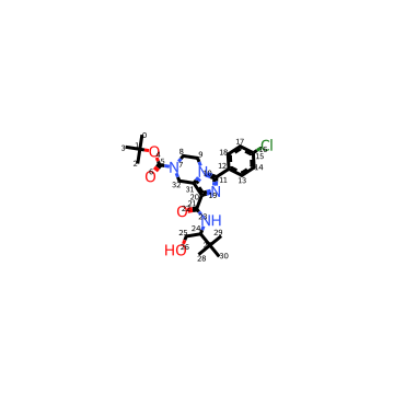 CC(C)(C)OC(=O)N1CCn2c(-c3ccc(Cl)cc3)nc(C(=O)NC(CO)C(C)(C)C)c2C1